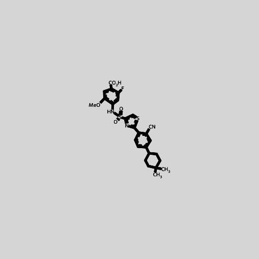 COc1cc(C(=O)O)c(F)cc1NS(=O)(=O)c1csc(-c2ccc(C3CCC(C)(C)CC3)cc2C#N)n1